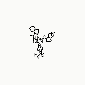 C=C(F)C(=O)N1CCN(c2nc(Oc3cccc4c3CCN(C)C4)nc3c2CCN3C(C)c2cccc3c2CCCC3)CC1